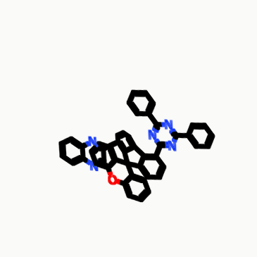 c1ccc(-c2nc(-c3ccccc3)nc(-c3cccc4c3-c3cccc(-c5cnc6ccccc6n5)c3C43c4ccccc4Oc4ccccc43)n2)cc1